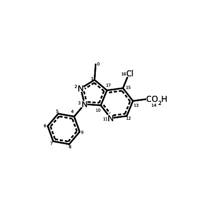 Cc1nn(-c2ccccc2)c2ncc(C(=O)O)c(Cl)c12